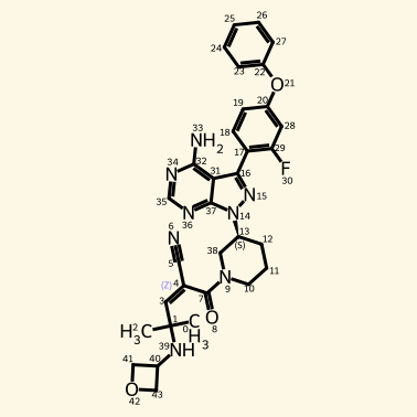 CC(C)(/C=C(/C#N)C(=O)N1CCC[C@H](n2nc(-c3ccc(Oc4ccccc4)cc3F)c3c(N)ncnc32)C1)NC1COC1